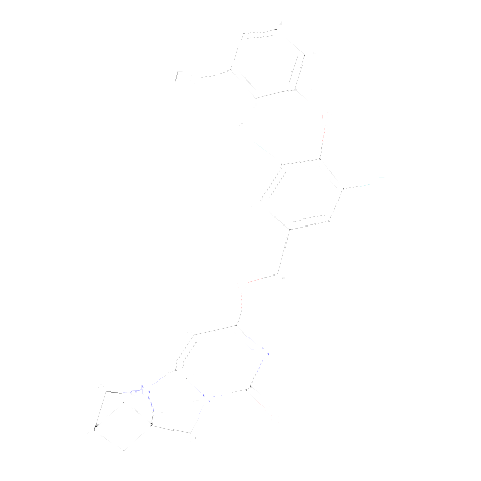 O=c1nc(OCc2cc(F)c(Oc3cccc(C(F)(F)F)c3)c(F)c2)cc2n1CC13CC(CN21)C3